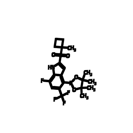 CC1(C)OB(c2c(C(F)(F)F)cc(F)c3[nH]c(S(=O)(=O)C4(C)CCC4)cc23)OC1(C)C